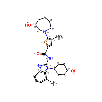 Cc1cccc2nc(NC(=O)c3cc([N+](=O)[O-])c(N4CCCC[C@H](O)C4)s3)n([C@H]3CC[C@H](O)CC3)c12